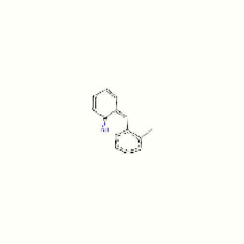 Cc1ccccc1/C=C1/C=CC=CC1=N